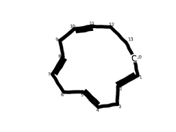 [CH]1/C=C/C/C=C/C/C=C/C/C=C\CC1